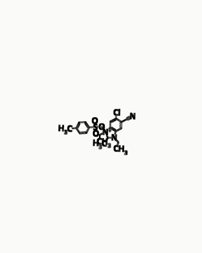 CCN1c2cc(C#N)c(Cl)cc2[N+](CC)(OS(=O)(=O)c2ccc(C)cc2)C1C